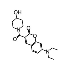 CCN(CC)c1ccc2cc(C(=O)N3CCC(O)CC3)c(=O)oc2c1